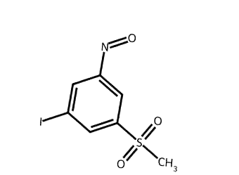 CS(=O)(=O)c1cc(I)cc(N=O)c1